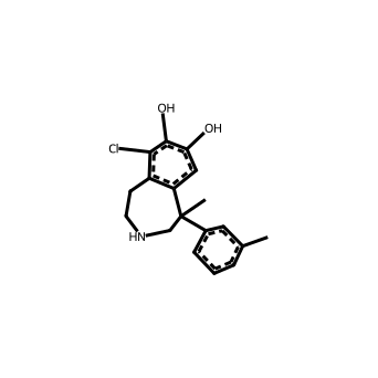 Cc1cccc(C2(C)CNCCc3c2cc(O)c(O)c3Cl)c1